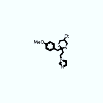 CCC1CSC(CCn2ccnc2)(Cc2ccc(OC)cc2)SC1